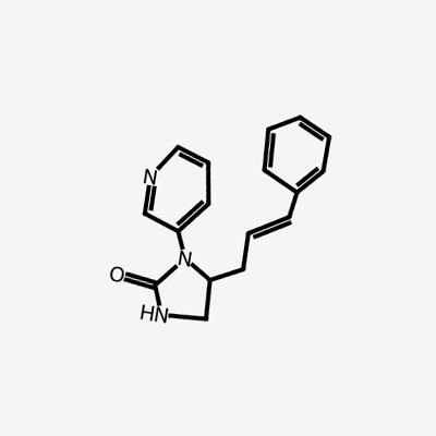 O=C1NCC(CC=Cc2ccccc2)N1c1cccnc1